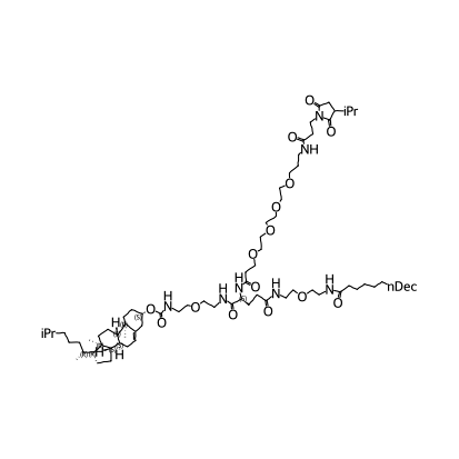 CCCCCCCCCCCCCCCC(=O)NCCOCCNC(=O)CC[C@H](NC(=O)CCOCCOCCOCCOCCCNC(=O)CCN1C(=O)CC(C(C)C)C1=O)C(=O)NCCOCCNC(=O)O[C@H]1CC[C@@]2(C)C(=CC[C@H]3[C@@H]4CC[C@H]([C@H](C)CCCC(C)C)[C@@]4(C)CC[C@@H]32)C1